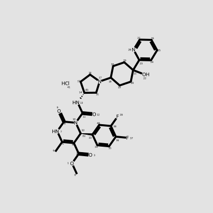 COC(=O)C1=C(C)NC(=O)N(C(=O)N[C@@H]2CCN(C3CCC(O)(c4ccccn4)CC3)C2)[C@H]1c1ccc(F)c(F)c1.Cl